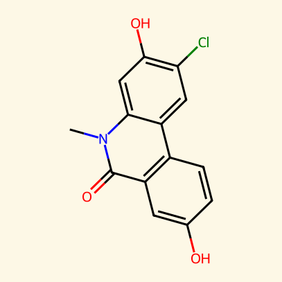 Cn1c(=O)c2cc(O)ccc2c2cc(Cl)c(O)cc21